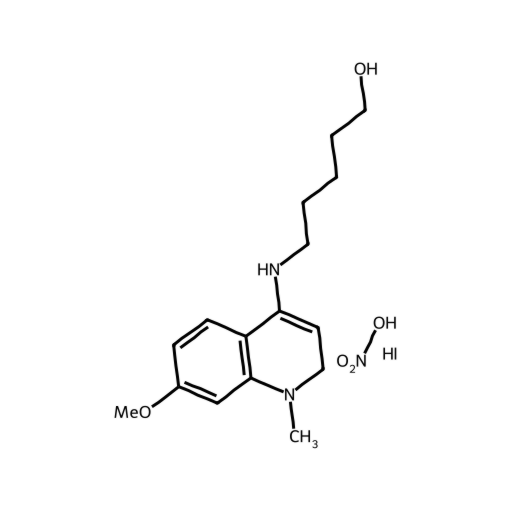 COc1ccc2c(c1)N(C)CC=C2NCCCCCO.I.O=[N+]([O-])O